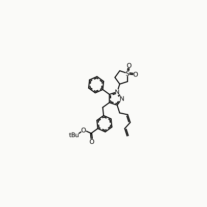 C=C/C=C\Cc1nn(C2CCS(=O)(=O)C2)c(-c2ccccc2)c1Cc1cccc(C(=O)OC(C)(C)C)c1